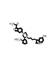 N#Cc1ccc2[nH]cc(CCCCN3CCN(c4ccc5c(C(N)=O)occ5c4)CC3)c2c1.O=S(=O)(O)c1ccccc1